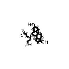 CN(C)CCN(C)CCN(C)C.C[C@]12CC[C@@H]3c4ccc(O)cc4CC[C@H]3[C@@H]1CC[C@@H]2O